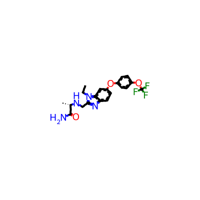 CCn1c(CN[C@@H](C)C(N)=O)nc2ccc(Oc3ccc(OC(F)(F)F)cc3)cc21